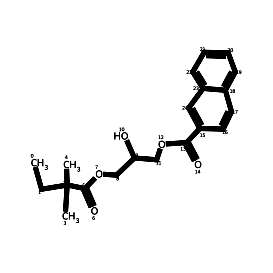 CCC(C)(C)C(=O)OCC(O)COC(=O)c1ccc2ccccc2c1